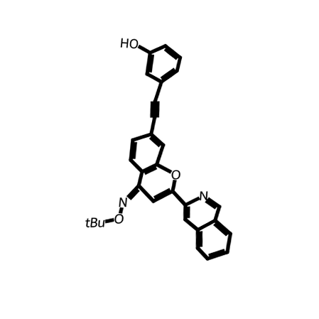 CC(C)(C)ON=c1cc(-c2cc3ccccc3cn2)oc2cc(C#Cc3cccc(O)c3)ccc12